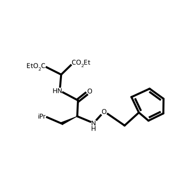 CCOC(=O)C(NC(=O)[C@H](CC(C)C)NOCc1ccccc1)C(=O)OCC